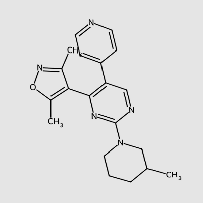 Cc1noc(C)c1-c1nc(N2CCCC(C)C2)ncc1-c1ccncc1